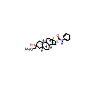 COC[C@@]1(O)CC[C@H]2[C@H](CC[C@@H]3[C@@H]2CC[C@]2(C)[C@H](C(=O)Nc4ccccc4)C[C@@H]32)C1